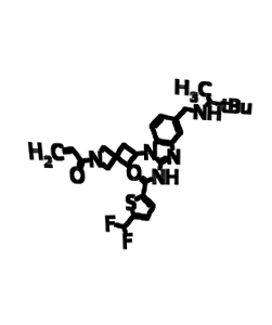 C=CC(=O)N1CC2(CC(n3c(NC(=O)c4ccc(C(F)F)s4)nc4cc(CN[C@@H](C)C(C)(C)C)ccc43)C2)C1